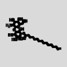 CCCCCCCCCCCCCCCC(=O)O[C@@H]1C(O)C(O)[C@H](O)[C@H](O[C@H]2OC(CO)[C@@H](O)[C@H](O)C2N)C1O